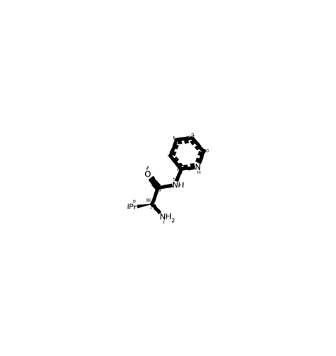 CC(C)[C@H](N)C(=O)Nc1ccccn1